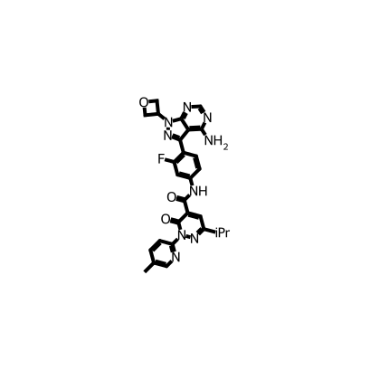 Cc1ccc(-n2nc(C(C)C)cc(C(=O)Nc3ccc(-c4nn(C5COC5)c5ncnc(N)c45)c(F)c3)c2=O)nc1